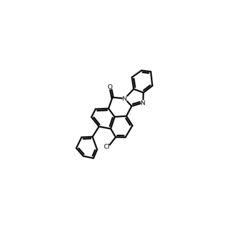 O=c1c2ccc(-c3ccccc3)c3c(Cl)ccc(c32)c2nc3ccccc3n12